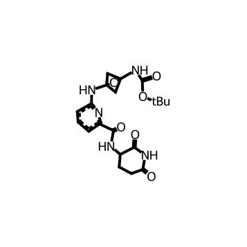 CC(C)(C)OC(=O)NC12CC(Nc3cccc(C(=O)NC4CCC(=O)NC4=O)n3)(C1)C2